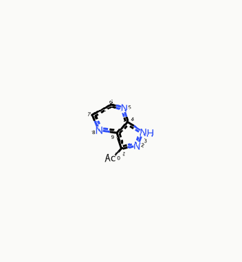 CC(=O)c1n[nH]c2nccnc12